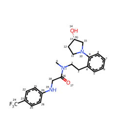 CN(CCc1ccccc1N1CC[C@H](O)C1)C(=O)CNc1ccc(C(F)(F)F)cc1